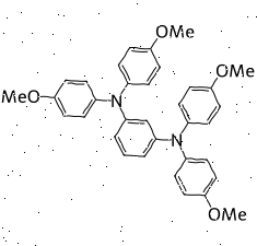 COc1ccc(N(c2ccc(OC)cc2)c2cccc(N(c3ccc(OC)cc3)c3ccc(OC)cc3)c2)cc1